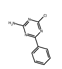 Nc1nc(Cl)nc(-c2ccccc2)n1